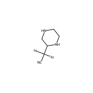 [2H]C([2H])(C#N)C1CNCCN1